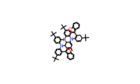 CC1=CC2C3B(c4cc(C(C)(C)C)ccc4N(C4=C(c5coc6ccccc56)CC(C(C)(C)C)C=C4)C3=C1)c1cc(C(C)(C)C)ccc1N2c1ccc(C(C)(C)C)cc1-c1coc2ccccc12